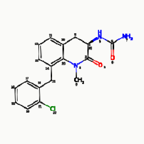 CN1C(=O)[C@H](NC(N)=O)Cc2cccc(Cc3ccccc3Cl)c21